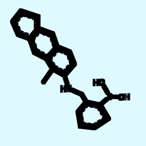 Cc1c(NCc2ccccc2B(O)O)ccc2cc3ccccc3cc12